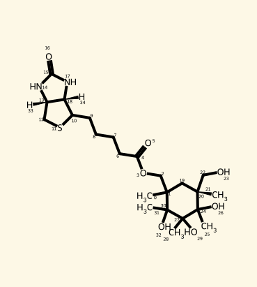 CC1(COC(=O)CCCCC2SC[C@@H]3NC(=O)N[C@H]23)C[C@](C)(CO)C(C)(O)C(C)(O)C1(C)O